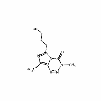 CCC(C)CCCc1nc(C(=O)O)c2nnn(C)c(=O)n12